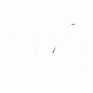 COc1ccc2c3c1OC1[C@@]4(OC)CC[C@@]5(C[C@@H]4C(C)(O)C(C)(C)C)C(C2)N(CC2CC2)CC[C@]315